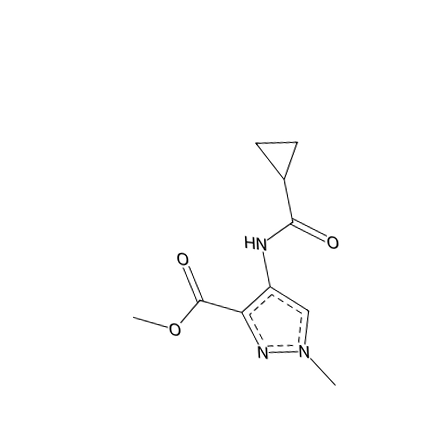 COC(=O)c1nn(C)cc1NC(=O)C1CC1